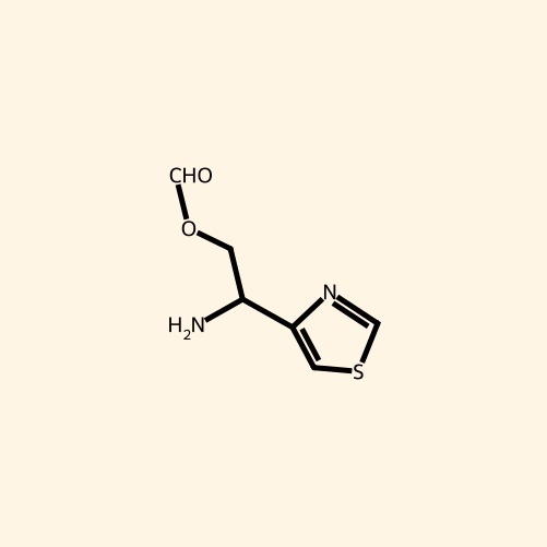 NC(COC=O)c1cscn1